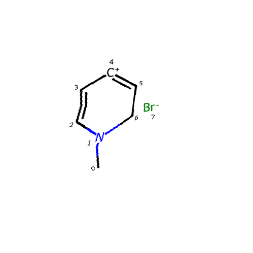 CN1C=C[C+]=CC1.[Br-]